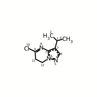 CC(C)c1cnn2c1N=C(Cl)CC2